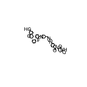 O=C1CC[C@H](N2Cc3cc(N4CCN(CC5CCN(c6ccc([C@H]7c8ccc(O)cc8OC[C@H]7c7ccccc7)cc6F)CC5)CC4)ccc3C2=O)C(=O)N1